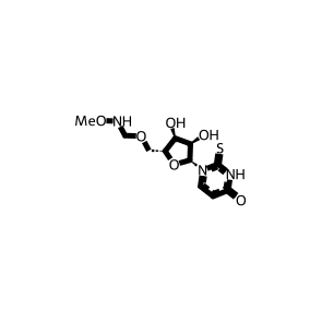 CONCOC[C@H]1O[C@@H](n2ccc(=O)[nH]c2=S)[C@H](O)[C@@H]1O